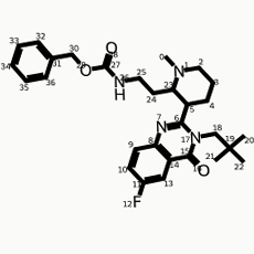 CN1CCCC(c2nc3ccc(F)cc3c(=O)n2CC(C)(C)C)C1CCNC(=O)OCc1ccccc1